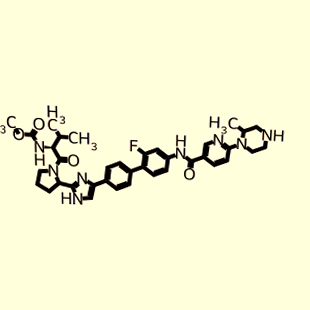 COC(=O)N[C@H](C(=O)N1CCCC1c1nc(-c2ccc(-c3ccc(NC(=O)c4ccc(N5CCNCC5C)nc4)cc3F)cc2)c[nH]1)C(C)C